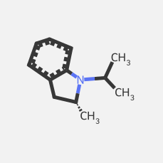 CC(C)N1c2ccccc2C[C@H]1C